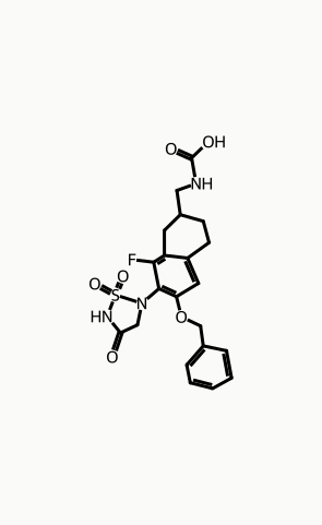 O=C(O)NCC1CCc2cc(OCc3ccccc3)c(N3CC(=O)NS3(=O)=O)c(F)c2C1